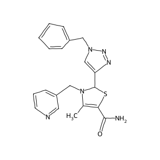 CC1=C(C(N)=O)SC(c2cn(Cc3ccccc3)nn2)N1Cc1cccnc1